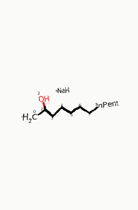 [CH2]C(O)CCCCCCCCCC.[NaH]